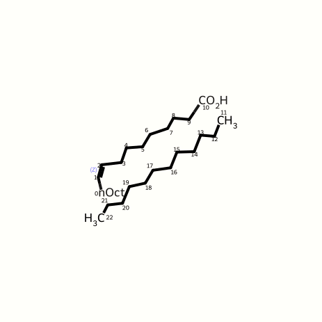 CCCCCCCC/C=C\CCCCCCCC(=O)O.CCCCCCCCCCCC